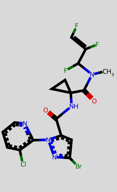 CN(C(=O)C1(NC(=O)c2cc(Br)nn2-c2ncccc2Cl)CC1)C(F)C(F)=CF